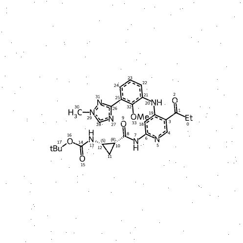 CCC(=O)c1cnc(NC(=O)[C@@H]2C[C@@H]2NC(=O)OC(C)(C)C)cc1Nc1cccc(-c2ncn(C)n2)c1OC